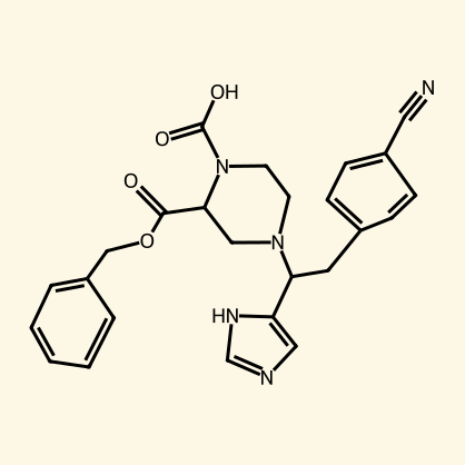 N#Cc1ccc(CC(c2cnc[nH]2)N2CCN(C(=O)O)C(C(=O)OCc3ccccc3)C2)cc1